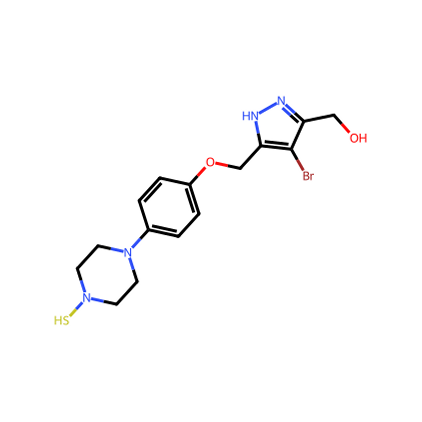 OCc1n[nH]c(COc2ccc(N3CCN(S)CC3)cc2)c1Br